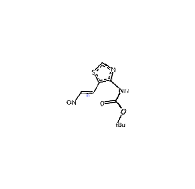 CC(C)(C)OC(=O)Nc1ncsc1/C=C/N=O